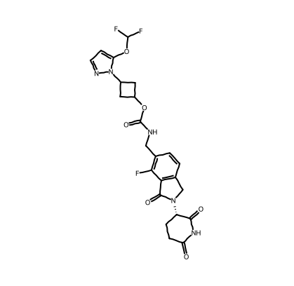 O=C1CC[C@H](N2Cc3ccc(CNC(=O)OC4CC(n5nccc5OC(F)F)C4)c(F)c3C2=O)C(=O)N1